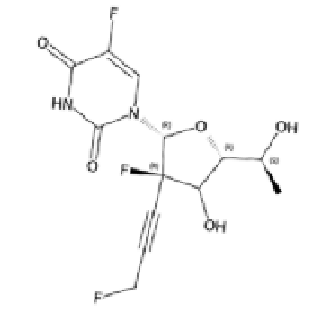 C[C@H](O)[C@H]1O[C@@H](n2cc(F)c(=O)[nH]c2=O)[C@@](F)(C#CCF)C1O